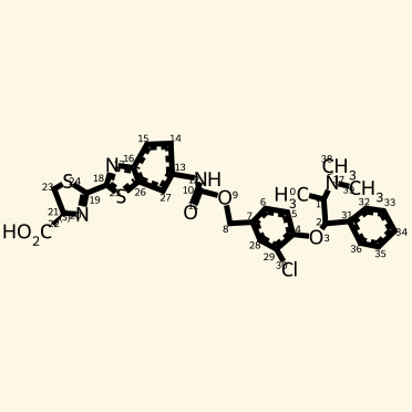 CC(C(Oc1ccc(COC(=O)Nc2ccc3nc(C4=N[C@@H](C(=O)O)CS4)sc3c2)cc1Cl)c1ccccc1)N(C)C